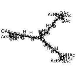 CC(=O)NC1C(OC(C)=O)[C@H](OC(C)=O)C(COC(C)=O)O[C@H]1OCCCCC(=O)NCCCNC(=O)CCOCC(CN=[N+]=[N-])(COCCC(=O)NCCCNC(=O)CCCCO[C@@H]1OC(COC(C)=O)[C@@H](OC(C)=O)C(OC(C)=O)C1NC(C)=O)COCCC(=O)NCCCNC(=O)CCCCO[C@@H]1OC(COC(C)=O)[C@@H](OC(C)=O)[C@H](OC(C)=O)C1NC(C)=O